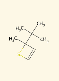 CC(C)(C)C1(C)C=CS1